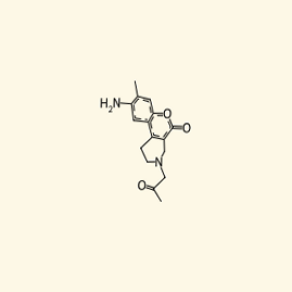 CC(=O)CN1CCc2c(c(=O)oc3cc(C)c(N)cc23)C1